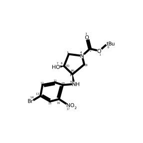 CC(C)(C)OC(=O)N1C[C@H](O)[C@H](Nc2ccc(Br)cc2[N+](=O)[O-])C1